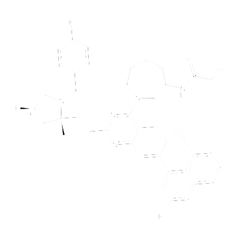 C#Cc1c(F)ccc2cc(O)cc(C3=Cc4nc(OC[C@]5(C)C[C@@H](F)CN5Cc5ccc(F)cc5)nc(N5CCCCC(NC(=O)C=C)C5)c4CC3)c12